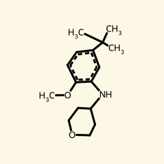 COc1ccc(C(C)(C)C)cc1NC1CCOCC1